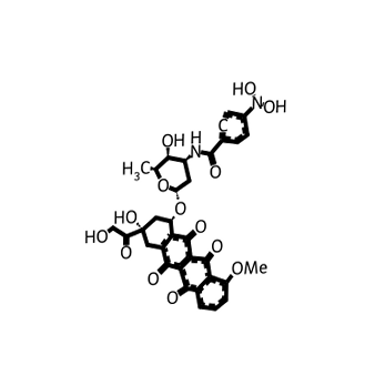 COc1cccc2c(=O)c3c(=O)c4c(c(=O)c=3c(=O)c12)[C@@H](O[C@H]1C[C@H](NC(=O)c2ccc(N(O)O)cc2)[C@H](O)[C@H](C)O1)C[C@](O)(C(=O)CO)C4